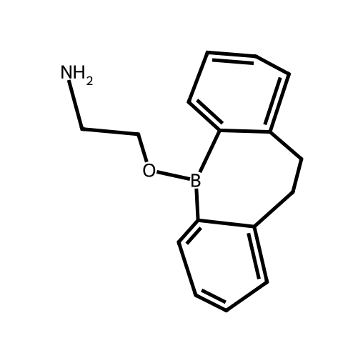 NCCOB1c2ccccc2CCc2ccccc21